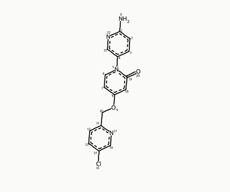 Nc1ccc(-n2ccc(OCc3ccc(Cl)cn3)cc2=O)cn1